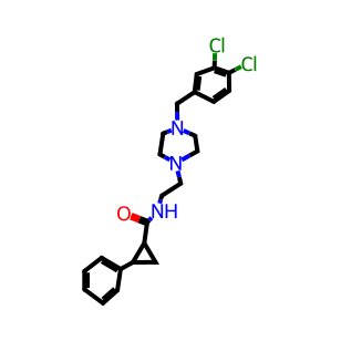 O=C(NCCN1CCN(Cc2ccc(Cl)c(Cl)c2)CC1)C1CC1c1ccccc1